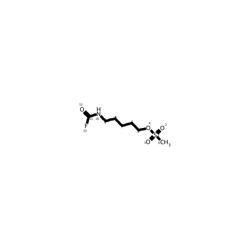 CS(=O)(=O)OCCCCCNC(=O)F